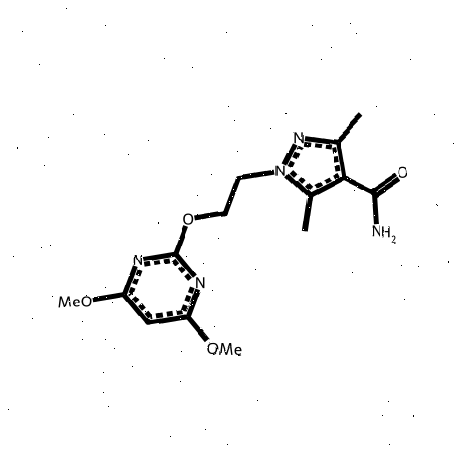 COc1cc(OC)nc(OCCn2nc(C)c(C(N)=O)c2C)n1